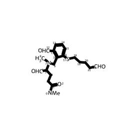 CNC(=O)CCC(C=O)N(C)Cc1c(C=O)cccc1SCCCCC=O